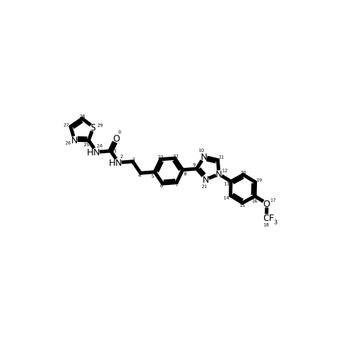 O=C(NCCc1ccc(-c2ncn(-c3ccc(OC(F)(F)F)cc3)n2)cc1)Nc1nccs1